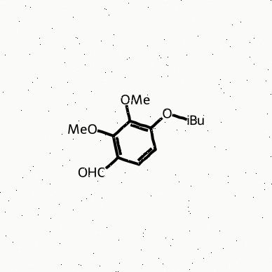 CCC(C)Oc1ccc(C=O)c(OC)c1OC